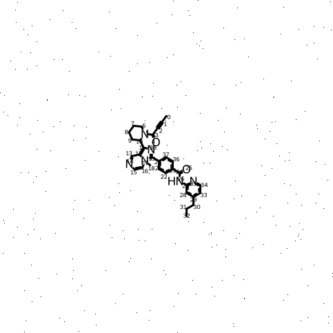 CC#CC(=O)N1CCCCC1C1=C2C=NC=C[N+]2(C)C(c2ccc(C(=O)Nc3cc(CCC)ccn3)cc2)=N1